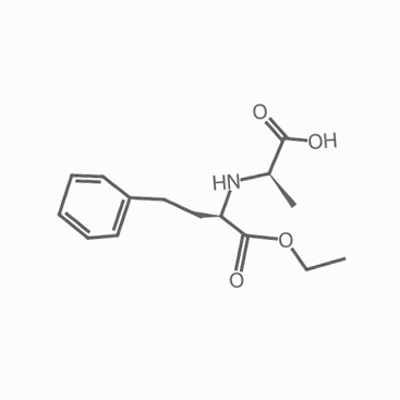 CCOC(=O)[C@@H](CCc1ccccc1)N[C@H](C)C(=O)O